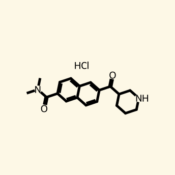 CN(C)C(=O)c1ccc2cc(C(=O)C3CCCNC3)ccc2c1.Cl